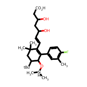 Cc1cc(C2=C(C=CC(O)CC(O)CC(=O)O)C(C)(C)CC(C(C)(C)C)C2O[SiH](C)C)ccc1F